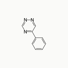 c1ccc(-c2cnncn2)cc1